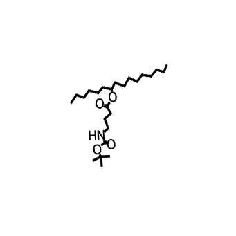 CCCCCCCCCC(CCCCCC)OC(=O)CCCNC(=O)OC(C)(C)C